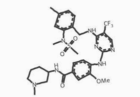 COc1cc(C(=O)NC2CCCN(C)C2)ccc1Nc1ncc(C(F)(F)F)c(NCc2ccc(C)cc2N(C)S(C)(=O)=O)n1